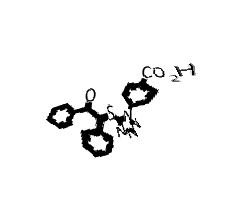 O=C(O)c1ccc(-n2nnnc2SC(C(=O)c2ccccc2)c2ccccc2)cc1